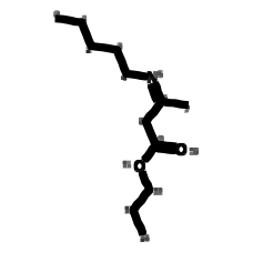 CCCCCN=C(C)CC(=O)OCCC